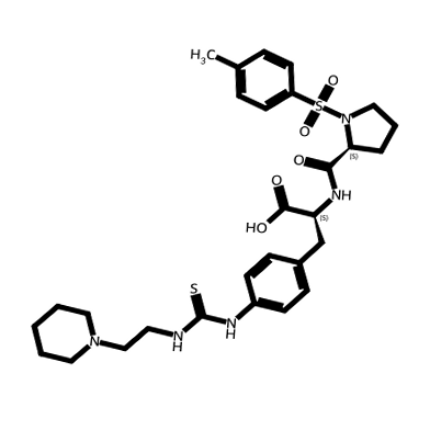 Cc1ccc(S(=O)(=O)N2CCC[C@H]2C(=O)N[C@@H](Cc2ccc(NC(=S)NCCN3CCCCC3)cc2)C(=O)O)cc1